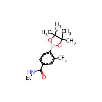 CCNC(=O)c1ccc(B2OC(C)(C)C(C)(C)O2)c(C(F)(F)F)c1